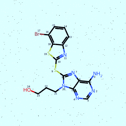 Nc1ncnc2c1nc(Sc1nc3cccc(Br)c3s1)n2CCCO